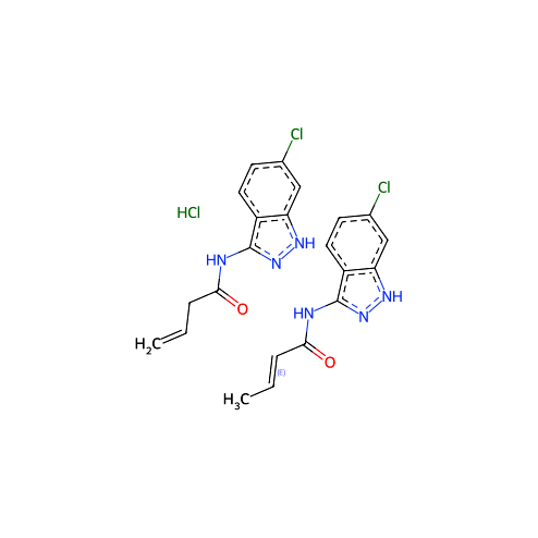 C/C=C/C(=O)Nc1n[nH]c2cc(Cl)ccc12.C=CCC(=O)Nc1n[nH]c2cc(Cl)ccc12.Cl